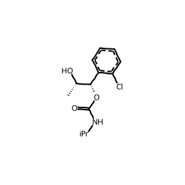 CC(C)NC(=O)O[C@@H](c1ccccc1Cl)[C@H](C)O